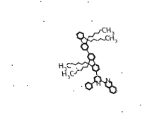 CCCCCCC1(CCCCCC)c2ccccc2-c2ccc(-c3ccc4c(c3)C(CCCCCC)(CCCCCC)c3cc(-c5cc(-c6ccccc6)nc(-c6cc7ccccc7cn6)c5)ccc3-4)cc21